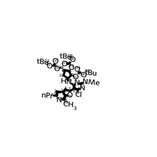 CCCc1cc2cc(-c3c(Cl)nc(NC)nc3N[C@@H]3C[C@H](COC(=O)OC(C)(C)C)[C@@H](OC(=O)OC(C)(C)C)[C@H]3OC(=O)OC(C)(C)C)oc2c(C)n1